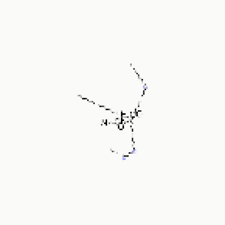 CCCCCC=CCC=CCCCCCCCCC(CCCCCCCC/C=C\C/C=C\CCCCC)(CNC(=O)OCCCN(C)C)COC(=O)CCCCCCC/C=C\CC=CCCCCC